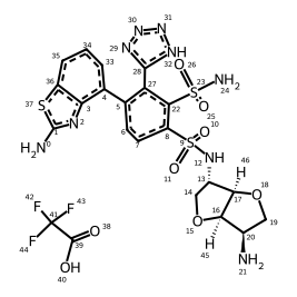 Nc1nc2c(-c3ccc(S(=O)(=O)N[C@H]4CO[C@H]5[C@@H]4OC[C@H]5N)c(S(N)(=O)=O)c3-c3nnn[nH]3)cccc2s1.O=C(O)C(F)(F)F